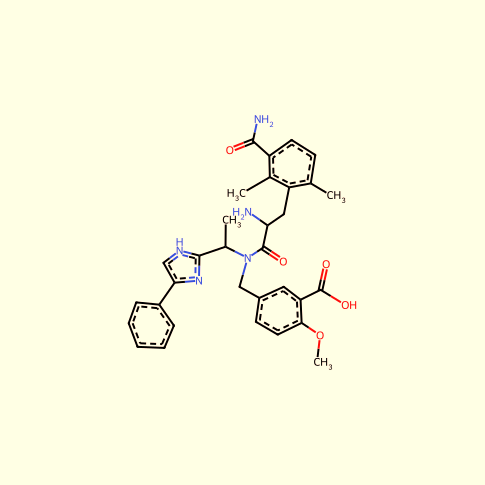 COc1ccc(CN(C(=O)C(N)Cc2c(C)ccc(C(N)=O)c2C)C(C)c2nc(-c3ccccc3)c[nH]2)cc1C(=O)O